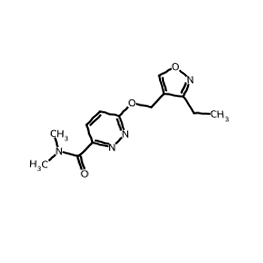 CCc1nocc1COc1ccc(C(=O)N(C)C)nn1